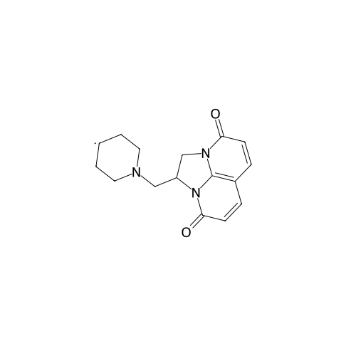 O=c1ccc2ccc(=O)n3c2n1CC3CN1CC[CH]CC1